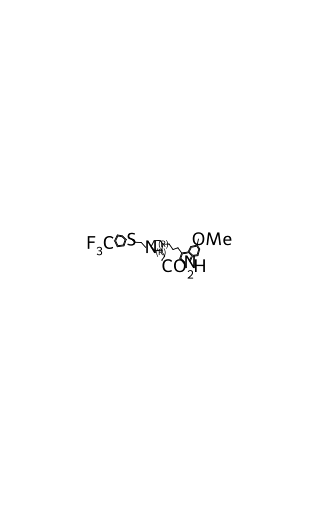 COc1ccc2nccc(CCC[C@@H]3CCN(CCCSc4ccc(C(F)(F)F)cc4)C[C@@H]3CCC(=O)O)c2c1